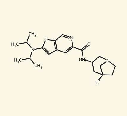 CC(C)N(c1cc2cc(C(=O)N[C@@H]3C[C@H]4CCN(C4)C3)ncc2o1)C(C)C